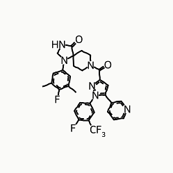 Cc1cc(N2CNC(=O)C23CCN(C(=O)c2cc(-c4cccnc4)n(-c4ccc(F)c(C(F)(F)F)c4)n2)CC3)cc(C)c1F